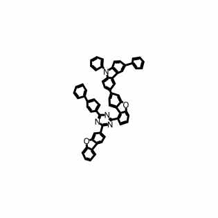 c1ccc(-c2ccc(-c3nc(-c4ccc5c(c4)oc4ccccc45)nc(-c4cccc5oc6cc(-c7ccc8c(c7)c7cc(-c9ccccc9)ccc7n8-c7ccccc7)ccc6c45)n3)cc2)cc1